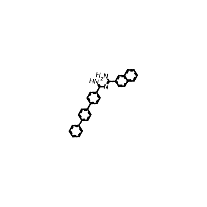 N=C(/N=C(\N)c1ccc2ccccc2c1)c1ccc(-c2ccc(-c3ccccc3)cc2)cc1